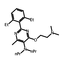 CCCN(CCC)c1c(C)nc(-c2c(CC)cccc2CC)nc1OCCN(C)C